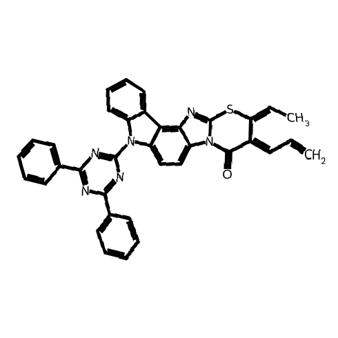 C=C/C=c1/c(=O)n2c(nc3c4c5ccccc5n(-c5nc(-c6ccccc6)nc(-c6ccccc6)n5)c4ccc32)s/c1=C/C